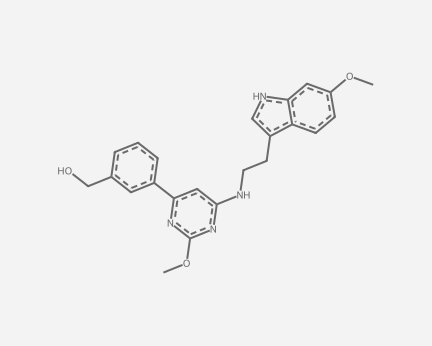 COc1ccc2c(CCNc3cc(-c4cccc(CO)c4)nc(OC)n3)c[nH]c2c1